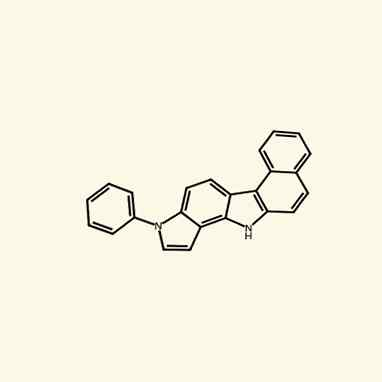 c1ccc(-n2ccc3c4[nH]c5ccc6ccccc6c5c4ccc32)cc1